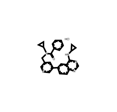 Cl.O=C(c1ccccc1)N(Cc1cncc(-c2ccc3ncnc(NC4CC4)c3c2)c1)C1CC1